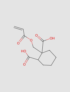 C=CC(=O)OCC1(C(=O)O)CCCCC1C(=O)O